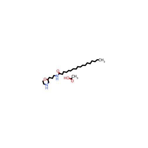 CC(=O)O.CCCCCCCCCCCCCCCCCC(=O)NCCCC1CNCCO1